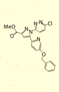 COC(=O)c1cc(-c2ccc(OCc3ccccc3)cn2)n(-c2ccc(Cl)nn2)n1